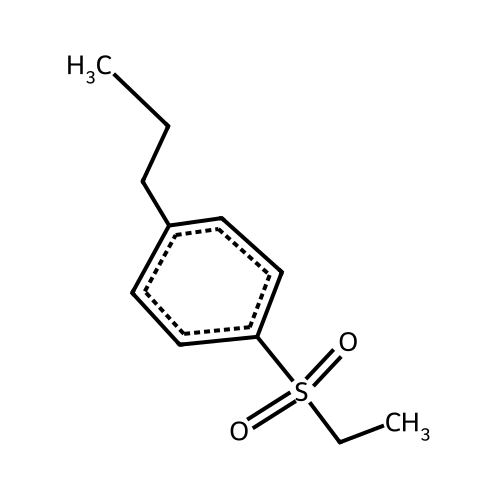 CCCc1ccc(S(=O)(=O)CC)cc1